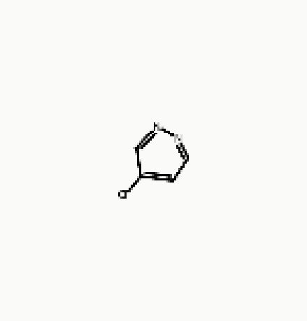 Clc1[c]nncc1